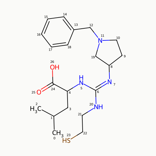 CC(C)CC(NC(=NC1CCN(Cc2ccccc2)C1)NCCS)C(=O)O